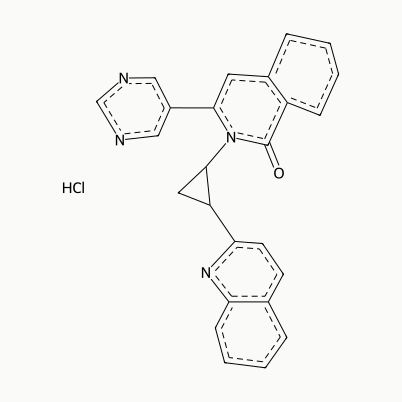 Cl.O=c1c2ccccc2cc(-c2cncnc2)n1C1CC1c1ccc2ccccc2n1